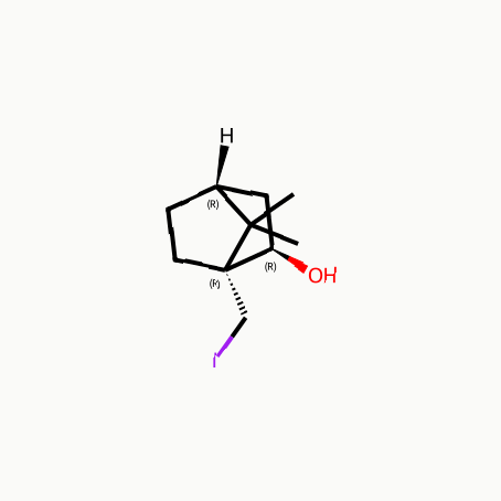 CC1(C)[C@@H]2CC[C@]1(CI)[C@H](O)C2